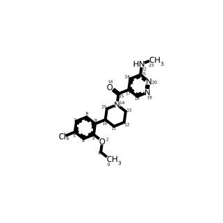 CCOc1cc(Cl)ccc1C1CCCN(C(=O)c2cnnc(NC)c2)C1